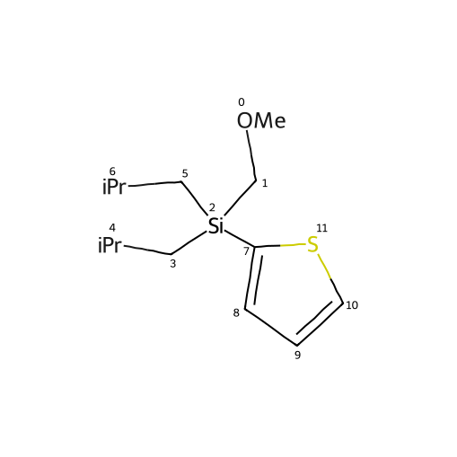 COC[Si](CC(C)C)(CC(C)C)c1cccs1